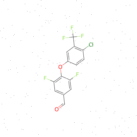 O=Cc1cc(F)c(Oc2ccc(Cl)c(C(F)(F)F)c2)c(F)c1